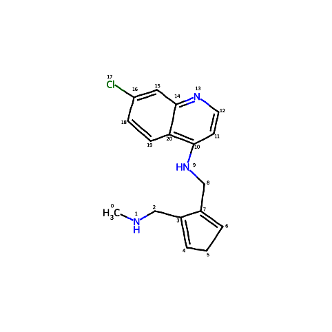 CNCC1=CCC=C1CNc1ccnc2cc(Cl)ccc12